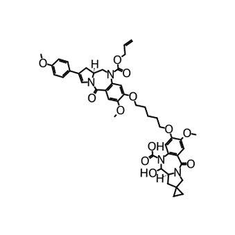 C=CCOC(=O)N1C[C@@H]2CC(c3ccc(OC)cc3)=CN2C(=O)c2cc(OC)c(OCCCCCOc3cc4c(cc3OC)C(=O)N3CC5(CC5)C[C@H]3C(O)N4C(=O)O)cc21